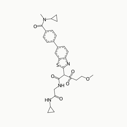 COCCS(=O)(=O)C(C(=O)NCC(=O)NC1CC1)c1nc2ccc(-c3ccc(C(=O)N(C)C4CC4)cc3)cc2s1